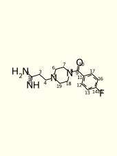 N=C(N)CCN1CCN(C(=O)c2ccc(F)cc2)CC1